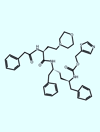 O=C(Cc1ccccc1)N[C@@H](CCN1CCOCC1)C(=O)N[C@H](CC[C@H](Cc1ccccc1)NC(=O)OCc1cncs1)Cc1ccccc1